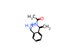 C=C(NC(C)=O)c1ccccc1CN